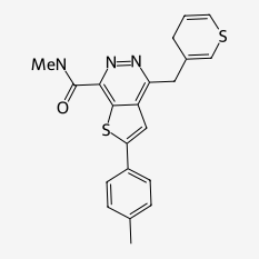 CNC(=O)c1nnc(CC2=CSC=CC2)c2cc(-c3ccc(C)cc3)sc12